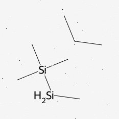 CCC.C[SiH2][Si](C)(C)C